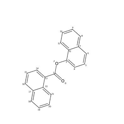 O=C(Oc1cccc2ccccc12)c1cccc2ccccc12